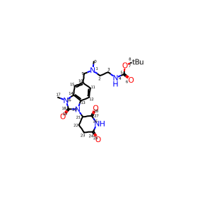 CN(CCNC(=O)OC(C)(C)C)Cc1ccc2c(c1)n(C)c(=O)n2C1CCC(=O)NC1=O